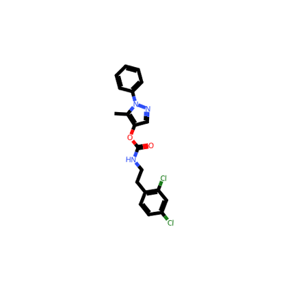 Cc1c(OC(=O)NCCc2ccc(Cl)cc2Cl)cnn1-c1ccccc1